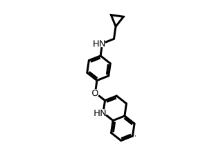 [c]1ccc2c(c1)CC=C(Oc1ccc(NCC3CC3)cc1)N2